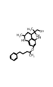 CC1CC(C(C)(C)CO)c2c(O)cc(OC(C)CCCc3ccccc3)cc2N1